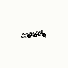 COc1ccc2c(Oc3ccc(-c4cnc(Nc5ccc(F)cc5)n(C)c4=O)cc3F)ccnc2c1OC